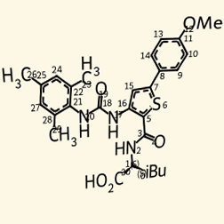 CC[C@H](C)[C@H](NC(=O)c1sc(-c2ccc(OC)cc2)cc1NC(=O)Nc1c(C)cc(C)cc1C)C(=O)O